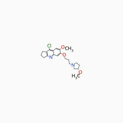 COc1cc2c(Cl)c3c(nc2cc1OCCCN1CC[C@H](OC)C1)CCC3